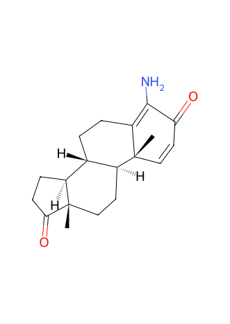 C[C@]12C=CC(=O)C(N)=C1CC[C@@H]1[C@@H]2CC[C@]2(C)C(=O)CC[C@@H]12